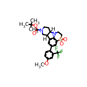 COc1ccc(-c2cc3c4c(c2)S(=O)(=O)CCN4[C@H]2CCN(C(=O)OC(C)(C)C)C[C@@H]32)c(C(F)(F)F)c1